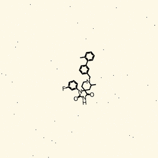 Cc1ccccc1-c1cccc(CN2CCC3(CC2C)C(=O)NC(=O)N3c2cccc(F)c2)c1